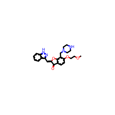 COCCOc1ccc2c(c1CN1CCNCC1)OC(=Cc1n[nH]c3ccccc13)C2=O